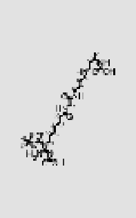 C[C@H](CCNCCCCNC(=O)CNC(=O)CCCCCCN(C(=O)OC(C)(C)C)C(N)=NC(=O)O)NC(=O)O